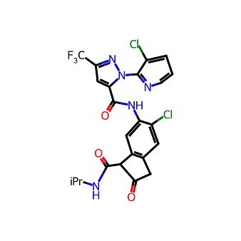 CC(C)NC(=O)C1C(=O)Cc2cc(Cl)c(NC(=O)c3cc(C(F)(F)F)nn3-c3ncccc3Cl)cc21